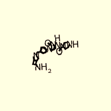 NC1CC2CN(Cc3ccc(-n4ccc(NC(=O)N5CCNCC5)nc4=O)cc3)CC12